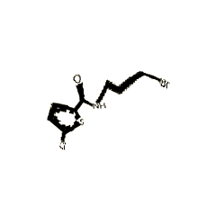 O=C(NCCCBr)c1ccc(Cl)s1